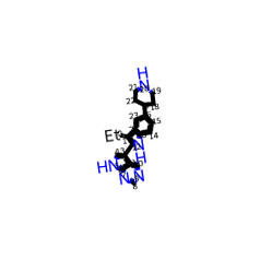 CCc1c(-c2c[nH]c3ncncc23)[nH]c2ccc(C3CCNCC3)cc12